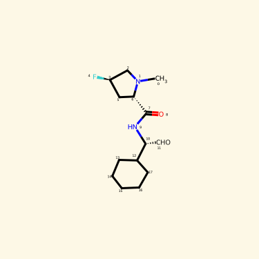 CN1C[C@H](F)C[C@H]1C(=O)N[C@H](C=O)C1CCCCC1